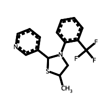 CC1CN(c2ccccc2C(F)(F)F)C(c2cccnc2)S1